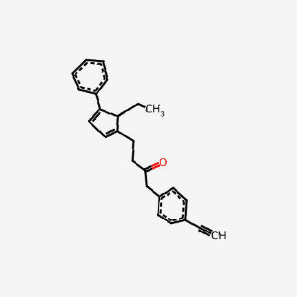 C#Cc1ccc(CC(=O)CCC2=CC=C(c3ccccc3)C2CC)cc1